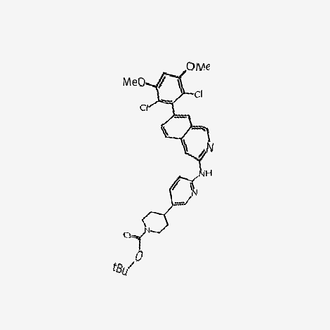 COc1cc(OC)c(Cl)c(-c2ccc3cc(Nc4ccc(C5CCN(C(=O)OC(C)(C)C)CC5)cn4)ncc3c2)c1Cl